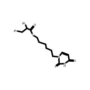 CC(C)CC(C(=O)SCCCCCCn1ccc(=O)[nH]c1=S)C(C)C